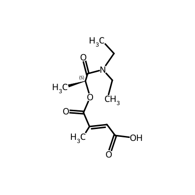 CCN(CC)C(=O)[C@H](C)OC(=O)C(C)=CC(=O)O